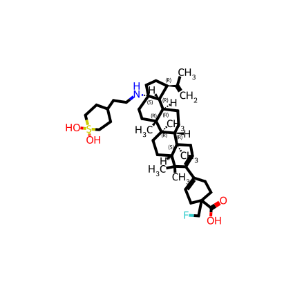 C=C(C)[C@@H]1CC[C@]2(NCCC3CCS(O)(O)CC3)CC[C@]3(C)[C@H](CC[C@@H]4[C@@]5(C)CC=C(C6=CCC(CF)(C(=O)O)CC6)C(C)(C)[C@@H]5CC[C@]43C)[C@@H]12